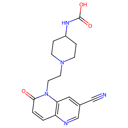 N#Cc1cnc2ccc(=O)n(CCN3CCC(NC(=O)O)CC3)c2c1